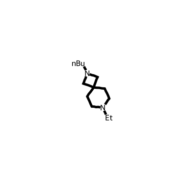 CCCCN1CC2(CCN(CC)CC2)C1